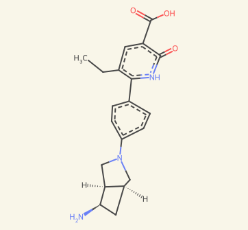 CCc1cc(C(=O)O)c(=O)[nH]c1-c1ccc(N2C[C@H]3C[C@@H](N)[C@H]3C2)cc1